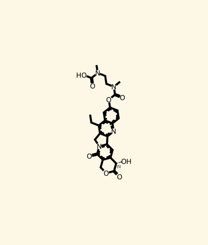 CCc1c2c(nc3ccc(OC(=O)N(C)CCN(C)C(=O)O)cc13)-c1cc3c(c(=O)n1C2)COC(=O)[C@H]3O